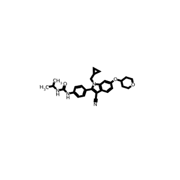 CC(C)NC(=O)Nc1ccc(-c2c(C#N)c3ccc(OC4CCOCC4)cc3n2CC2CC2)cc1